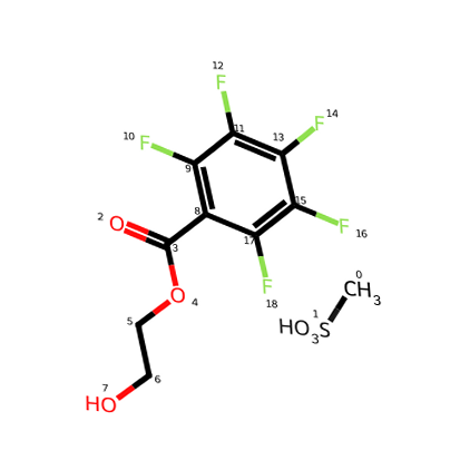 CS(=O)(=O)O.O=C(OCCO)c1c(F)c(F)c(F)c(F)c1F